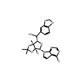 CC1(C)O[C@H]2[C@H](n3ccc4c(Cl)ncnc43)O[C@H](C(O)c3ccc4c(c3)OCO4)[C@@]2(C)O1